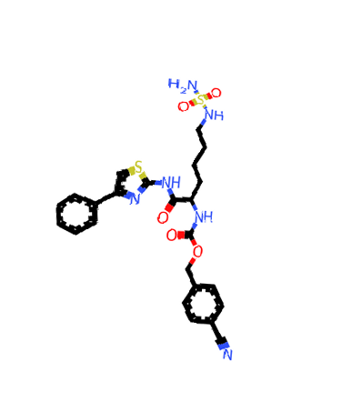 N#Cc1ccc(COC(=O)NC(CCCCNS(N)(=O)=O)C(=O)Nc2nc(-c3ccccc3)cs2)cc1